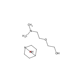 C1CN2CCC1CN2.CN(C)CCOCCO